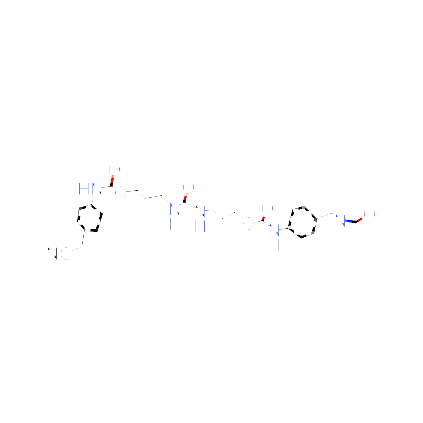 N#CCc1ccc(NC(=O)OCCCNC(=O)NCCCOC(=O)Nc2ccc(CN=C=O)cc2)cc1